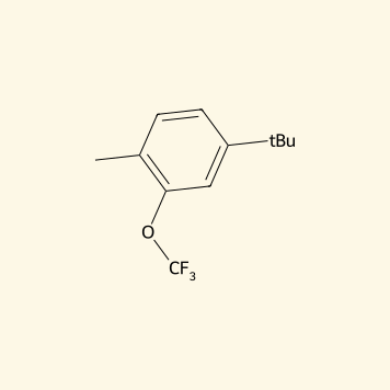 Cc1ccc(C(C)(C)C)cc1OC(F)(F)F